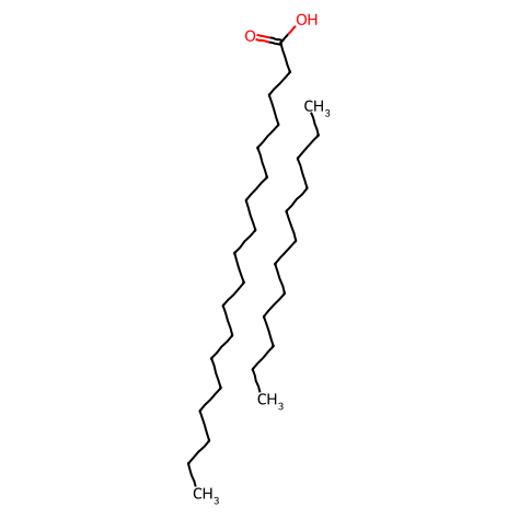 CCCCCCCCCCCC.CCCCCCCCCCCCCCCCCC(=O)O